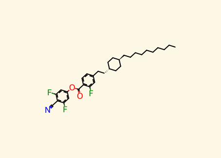 CCCCCCCCCC[C@H]1CC[C@H](CCc2ccc(C(=O)Oc3cc(F)c(C#N)c(F)c3)c(F)c2)CC1